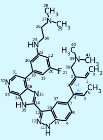 C=C/C(=C\C(=C/C)c1ccc2[nH]nc(-c3nc4c(-c5cc(F)cc(NCCN(C)C)c5)cncc4[nH]3)c2c1)CN(C)C